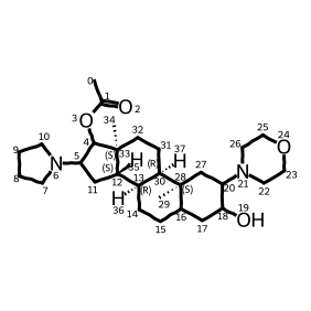 CC(=O)OC1C(N2CCCC2)C[C@H]2[C@@H]3CCC4CC(O)C(N5CCOCC5)C[C@]4(C)[C@@H]3CC[C@]12C